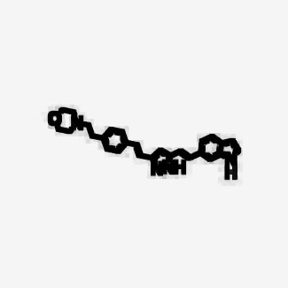 C(=Cc1cc(C=Cc2ccc3cc[nH]c3c2)[nH]n1)c1ccc(CCN2CCOCC2)cc1